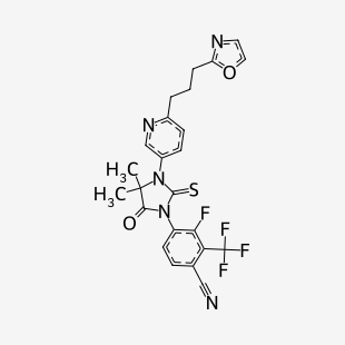 CC1(C)C(=O)N(c2ccc(C#N)c(C(F)(F)F)c2F)C(=S)N1c1ccc(CCCc2ncco2)nc1